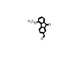 COc1cccc2c1-c1ccc(C=O)cc1C2=O